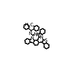 Cc1ccccc1/C(=N\C(=N)n1c2ccccc2c2ccc3c(c21)c1nc2ccccc2n1c1sc2ccccc2c31)c1ccccc1